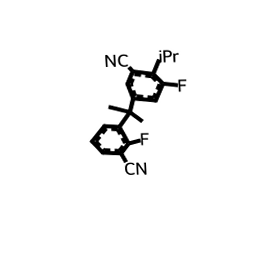 CC(C)c1c(F)cc(C(C)(C)c2cccc(C#N)c2F)cc1C#N